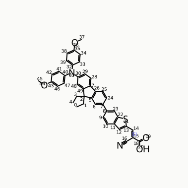 CCC1(CC)c2cc(-c3ccc4cc(/C=C(\C#N)C(=O)O)sc4c3)ccc2-c2ccc(N(c3ccc(OC)cc3)c3ccc(OC)cc3)cc21